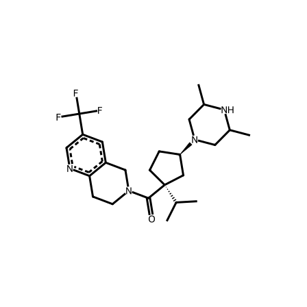 CC1CN([C@@H]2CC[C@@](C(=O)N3CCc4ncc(C(F)(F)F)cc4C3)(C(C)C)C2)CC(C)N1